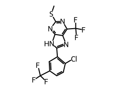 CSc1nc(C(F)(F)F)c2nc(-c3cc(C(F)(F)F)ccc3Cl)[nH]c2n1